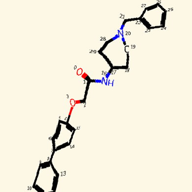 O=C(COc1ccc(-c2ccccc2)cc1)NC1CCN(Cc2ccccc2)CC1